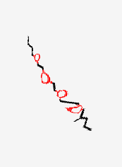 CCCCOCCOCCOCCO/C=C(\C)CCC